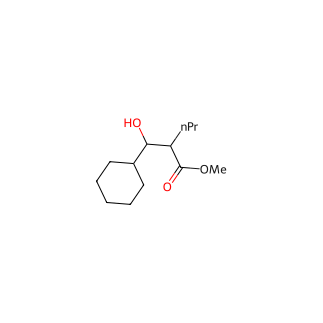 CCCC(C(=O)OC)C(O)C1CCCCC1